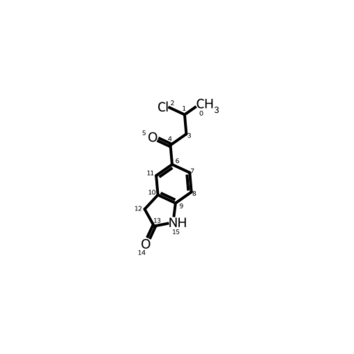 CC(Cl)CC(=O)c1ccc2c(c1)CC(=O)N2